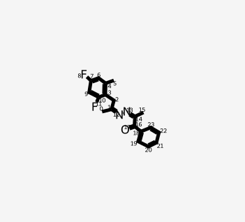 C/C(Cc1c(C)cc(F)cc1F)=N/N=C(/C)C(=O)c1ccccc1